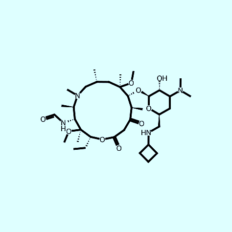 CC[C@H]1OC(=O)CC(=O)[C@H](C)[C@@H](O[C@@H]2O[C@H](CNC3CCC3)CC(N(C)C)[C@H]2O)[C@](C)(OC)C[C@@H](C)CN(C)[C@H](C)[C@@H](NC=O)[C@]1(C)OC